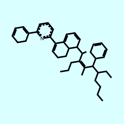 CCCCC(CC)C(/C(C)=C(/CCC)C(C)C1C=CC=C2C(c3cccc(C4=CC=CCC4)n3)=CCCC21)C1C=CC=CC1